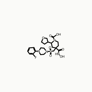 O=C(O)N1CCC(CS(=O)(=O)N2CCN(c3ccccc3F)CC2)(C(=O)NO)CC1C1CCOC1